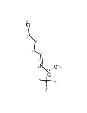 CC(C)(C)[S@@+]([O-])/N=C/CCCCl